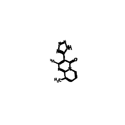 [2H]c1nc2c(C)cccn2c(=O)c1-c1nnn[nH]1